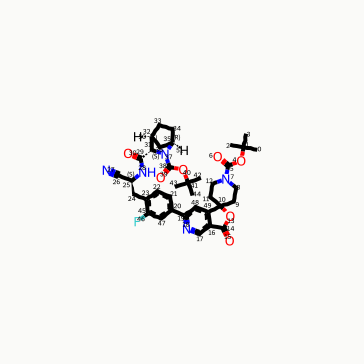 CC(C)(C)OC(=O)N1CCC2(CC1)OC(=O)c1cnc(-c3ccc(C[C@@H](C#N)NC(=O)[C@@H]4[C@H]5CC[C@H](C5)N4C(=O)OC(C)(C)C)c(F)c3)cc12